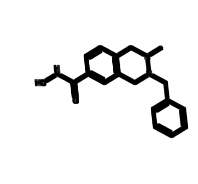 CN1Cc2ccc(C(=O)NO)cc2CN1Cc1ccccc1